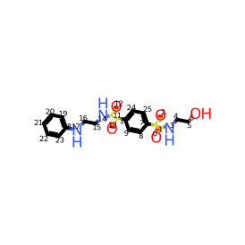 O=S(=O)(NCCO)c1ccc(S(=O)(=O)NCCNc2ccccc2)cc1